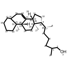 CC(CO)CCC[C@@H](C)[C@H]1CC[C@H]2C3=CCC4CCCC[C@]4(C)[C@H]3CC[C@]12C